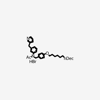 Br.CCCCCCCCCCCCCCCCOc1ccc(CN(C(C)=O)c2cccc(Cc3cccnc3)c2)cc1